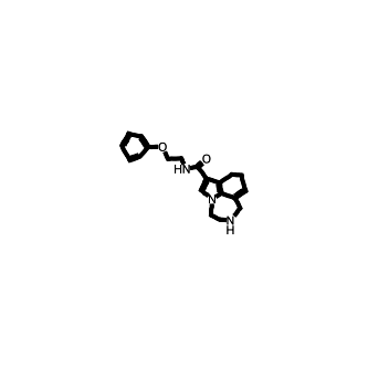 O=C(NCCOc1ccccc1)c1cn2c3c1CCC=C3CNCC2